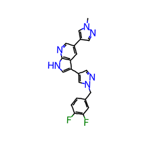 Cn1cc(-c2cnc3[nH]cc(-c4cnn(Cc5ccc(F)c(F)c5)c4)c3c2)cn1